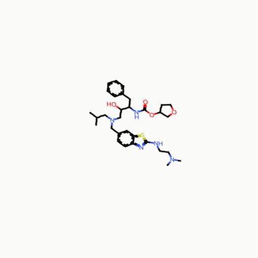 CC(C)CN(Cc1ccc2nc(NCCN(C)C)sc2c1)CC(O)C(Cc1ccccc1)NC(=O)OC1CCOC1